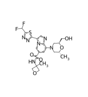 C[C@@H]1CN(c2cc(S(=O)(=O)NC3(C)COC3)cn3c(-c4nnc(C(F)F)s4)cnc23)C[C@@H](CO)O1